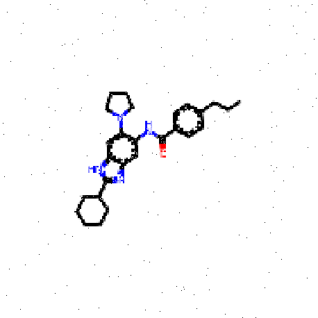 CCCc1ccc(C(=O)Nc2cc3nc(C4CCCCC4)[nH]c3cc2N2CCCC2)cc1